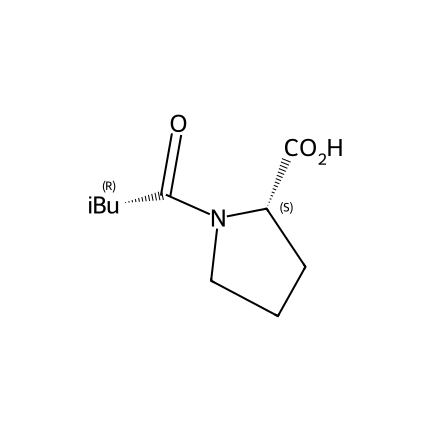 CC[C@@H](C)C(=O)N1CCC[C@H]1C(=O)O